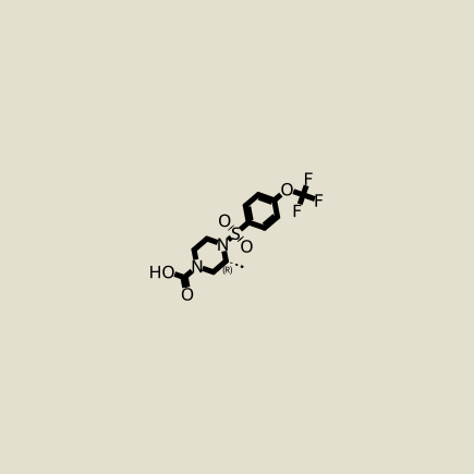 C[C@@H]1CN(C(=O)O)CCN1S(=O)(=O)c1ccc(OC(F)(F)F)cc1